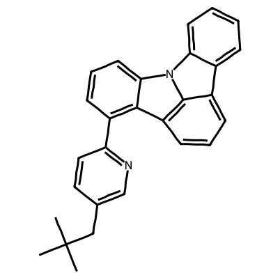 CC(C)(C)Cc1ccc(-c2cccc3c2c2cccc4c5ccccc5n3c42)nc1